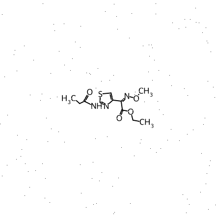 CCOC(=O)C(=NOC)c1csc(NC(=O)CC)n1